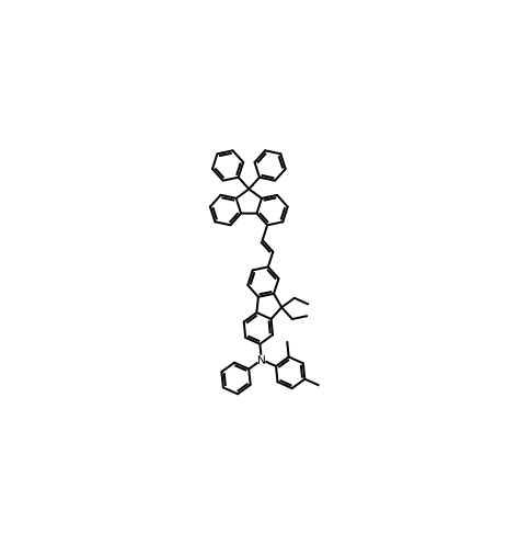 CCC1(CC)c2cc(/C=C/c3cccc4c3-c3ccccc3C4(c3ccccc3)c3ccccc3)ccc2-c2ccc(N(c3ccccc3)c3ccc(C)cc3C)cc21